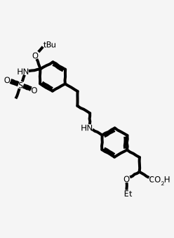 CCOC(Cc1ccc(NCCCC2C=CC(NS(C)(=O)=O)(OC(C)(C)C)C=C2)cc1)C(=O)O